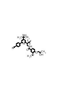 COc1cc(C(=O)NCC(c2cc(C(C)(C)N)cc(-c3ccc(C#N)cc3)n2)C(F)(F)F)ccc1OC[C@@H](C)O